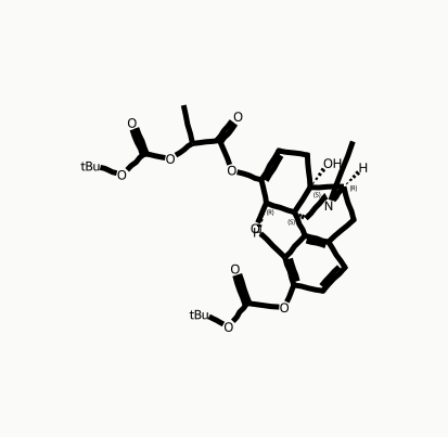 CC(OC(=O)OC(C)(C)C)C(=O)OC1=CC[C@@]2(O)[C@H]3Cc4ccc(OC(=O)OC(C)(C)C)c5c4[C@@]2(CCN3C)[C@H]1O5